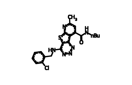 CCCCNC(=O)c1cc(C)nc2sc3c(NCc4ccccc4Cl)nnnc3c12